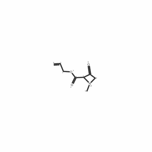 C=CCOC(=O)C1C(=O)CN1C